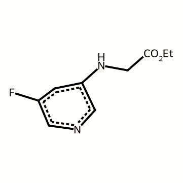 CCOC(=O)CNc1cncc(F)c1